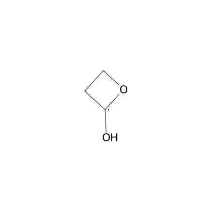 O[C]1CCO1